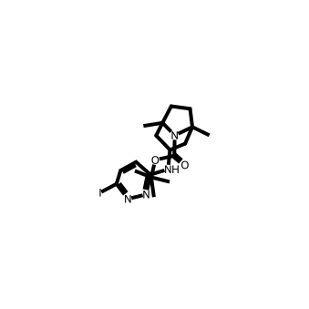 CC(C)(C)OC(=O)N1C2(C)CCC1(C)CC(Nc1ccc(I)nn1)C2